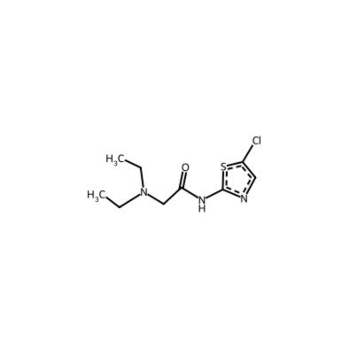 CCN(CC)CC(=O)Nc1ncc(Cl)s1